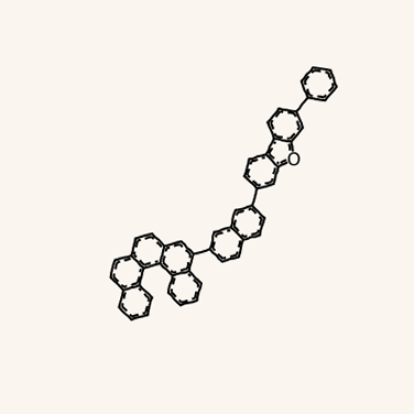 c1ccc(-c2ccc3c(c2)oc2cc(-c4ccc5ccc(-c6cc7ccc8ccc9ccccc9c8c7c7ccccc67)cc5c4)ccc23)cc1